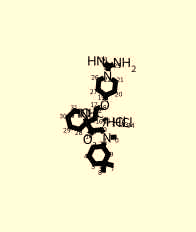 CN(C1CCCC(C)(C)C1)[C@@H](CC(=O)O)C(=O)C1(CCOC2CCN(C(=N)N)CC2)CCCCN1.Cl.Cl